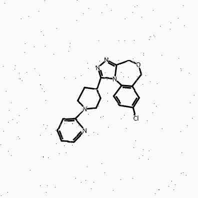 Clc1ccc2c(c1)COCc1nnc(C3CCN(c4ccccn4)CC3)n1-2